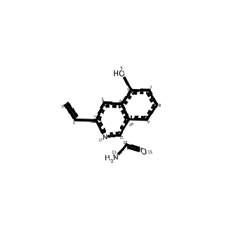 C=Cc1cc2c(O)cccc2cn1.NC=O